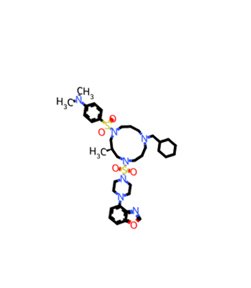 C[C@H]1CN(S(=O)(=O)c2ccc(N(C)C)cc2)CCCN(CC2CCCCC2)CCCN(S(=O)(=O)N2CCN(c3cccc4ocnc34)CC2)C1